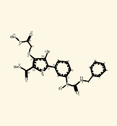 CCN(C(=O)NCc1ccccc1)c1cccc(-c2sc(C(=O)OC)c(OCC(=O)OC(C)(C)C)c2Br)c1